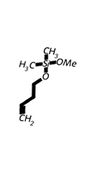 C=CCCO[Si](C)(C)OC